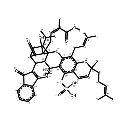 COC(=O)/C(C)=C\CC1(O)C(=O)C2CC(C(C)C)C13Oc1c(CC=C(C)C)c4c(c(OP(=O)(O)O)c1C15NCCN1C1=C(C(=O)c6ccccc61)C2C53)C=CC(C)(CCC=C(C)C)O4